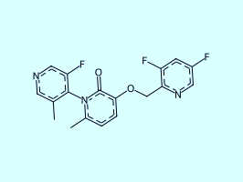 Cc1cncc(F)c1-n1c(C)ccc(OCc2ncc(F)cc2F)c1=O